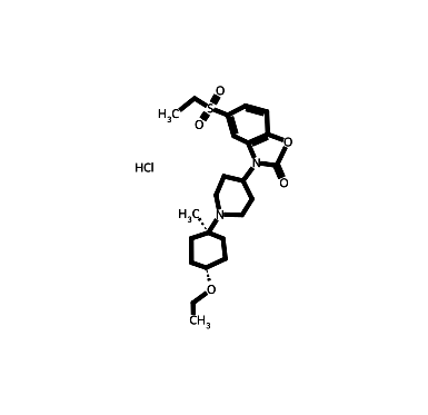 CCO[C@H]1CC[C@](C)(N2CCC(n3c(=O)oc4ccc(S(=O)(=O)CC)cc43)CC2)CC1.Cl